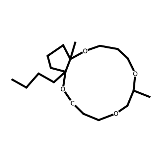 CCCCC12CCCC1(C)OCCCOC(C)COCCCO2